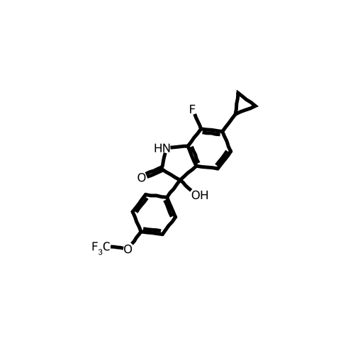 O=C1Nc2c(ccc(C3CC3)c2F)C1(O)c1ccc(OC(F)(F)F)cc1